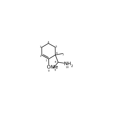 COC1=CCCCC1(C)C(C)N